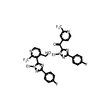 CCn1nc(-c2ccc(F)cc2)nc1-c1c(CO)ccnc1C(F)(F)F.CCn1nc(-c2ccc(F)cc2)nc1C(=O)c1ccnc(C(F)(F)F)c1